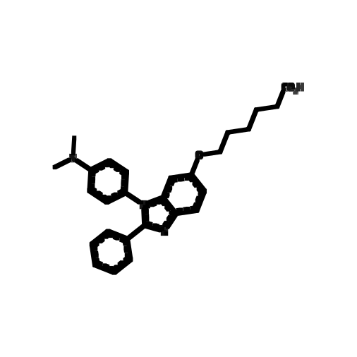 CN(C)c1ccc(-n2c(-c3ccccc3)nc3ccc(OCCCCCC(=O)O)cc32)cc1